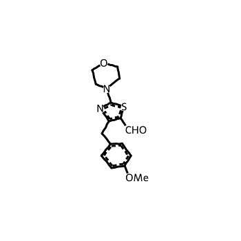 COc1ccc(Cc2nc(N3CCOCC3)sc2C=O)cc1